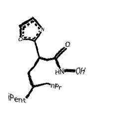 CCCC(C)C(CCC)CC(C(=O)NO)c1ncco1